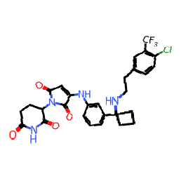 O=C1CCC(N2C(=O)C=C(Nc3cccc(C4(NCCc5ccc(Cl)c(C(F)(F)F)c5)CCC4)c3)C2=O)C(=O)N1